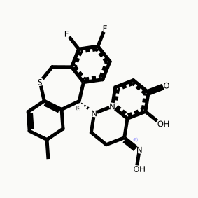 CC1C=CC2=C(C1)[C@@H](N1CC/C(=N\O)c3c(O)c(=O)ccn31)c1ccc(F)c(F)c1CS2